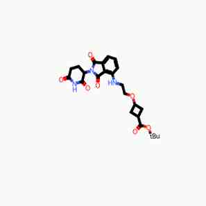 CC(C)(C)OC(=O)C1CC(OCCNc2cccc3c2C(=O)N(C2CCC(=O)NC2=O)C3=O)C1